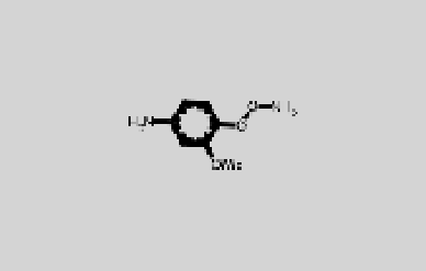 COc1cc(N)ccc1OON